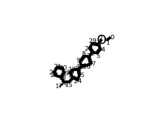 CCOc1ccc(-c2ccc(-c3ccc(C[C@@H](C)c4ccccc4)cc3)cc2)cc1